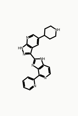 c1ccc(-c2nccc3[nH]c(-c4n[nH]c5ncc(C6CCNCC6)cc45)nc23)nc1